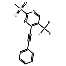 CS(=O)(=O)c1ncc(C(F)(F)F)c(C#Cc2ccccc2)n1